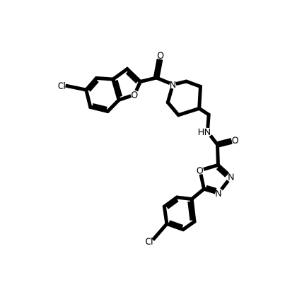 O=C(NCC1CCN(C(=O)c2cc3cc(Cl)ccc3o2)CC1)c1nnc(-c2ccc(Cl)cc2)o1